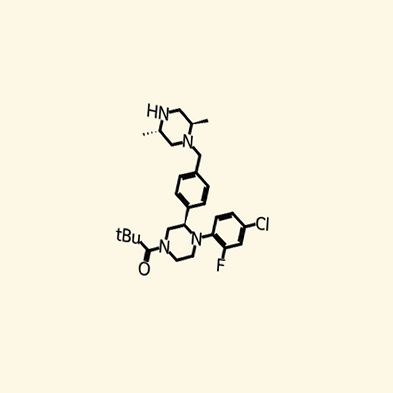 C[C@@H]1CN[C@@H](C)CN1Cc1ccc([C@@H]2CN(C(=O)C(C)(C)C)CCN2c2ccc(Cl)cc2F)cc1